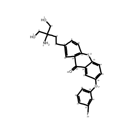 NC(CO)(CO)CCc1ccc2sc3ccc(Oc4cccc(F)c4)cc3c(=O)c2c1